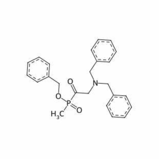 CP(=O)(OCc1ccccc1)C(=O)CN(Cc1ccccc1)Cc1ccccc1